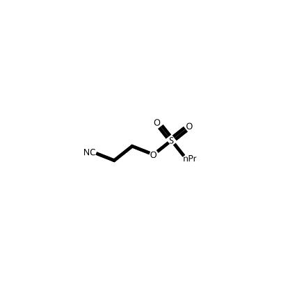 CCCS(=O)(=O)OCCC#N